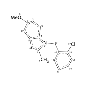 COc1ccc2c([c]c(C)n2Cc2ccccc2Cl)c1